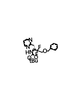 CC(C)(C)OC(=O)N[C@H](Cc1ncccn1)C(F)(F)COCc1ccccc1